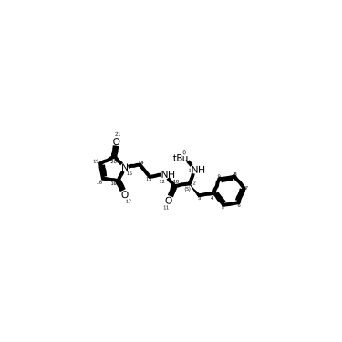 CC(C)(C)N[C@@H](Cc1ccccc1)C(=O)NCCN1C(=O)C=CC1=O